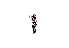 C=CC(=O)NC1C(C)(C)CN(S(=O)(=O)c2ccc(C(=O)NCCN3CCC(F)(F)CC3)cc2)CC1(C)C